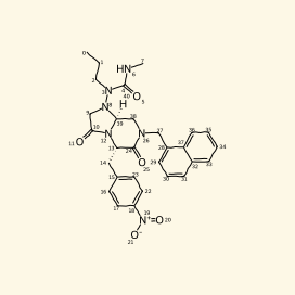 CCCN(C(=O)NC)N1CC(=O)N2[C@@H](Cc3ccc([N+](=O)[O-])cc3)C(=O)N(Cc3cccc4ccccc34)C[C@@H]21